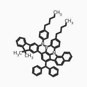 CCCCCc1ccc(N2B3c4cc(CCCCC)ccc4-n4c5c3c(cc(C(c3ccccc3)c3ccccc3)c5c3ccc5ccccc5c34)-c3cc4c(cc32)-c2ccccc2C4(C)C)cc1